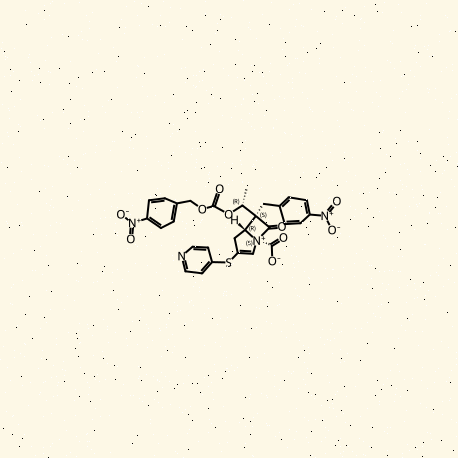 C[C@@H](OC(=O)OCc1ccc([N+](=O)[O-])cc1)[C@@]1(Cc2ccc([N+](=O)[O-])cc2)C(=O)[N@@+]2(C(=O)[O-])C=C(Sc3ccncc3)C[C@H]12